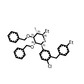 CCc1ccc(Cc2cc([C@@H]3S[C@H](CC)[C@@H](C)[C@H](OCc4ccccc4)[C@H]3OCc3ccccc3)ccc2Cl)cc1